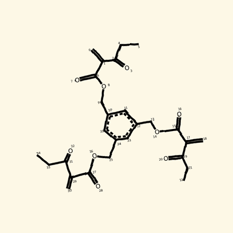 C=C(C(=O)CC)C(=O)OCc1cc(COC(=O)C(=C)C(=O)CC)cc(COC(=O)C(=C)C(=O)CC)c1